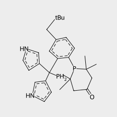 CC(C)(C)Cc1ccc(P2C(C)(C)CC(=O)CC2(C)C)c(C(P)(c2cc[nH]c2)c2cc[nH]c2)c1